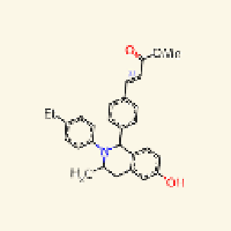 CCc1ccc(N2C(C)Cc3cc(O)ccc3C2c2ccc(/C=C/C(=O)OC)cc2)cc1